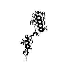 CC1Sc2c(C(=O)OCCCC(=O)Oc3ccc(N(C)C)c4c3C(=O)C3=C(O)[C@@]5(O)C(=O)C(C(N)=O)=C(O)[C@H](N(C)C)[C@H]5C[C@H]3C4)c(=O)c3cc(F)c(N4CCNCC4)cc3n21